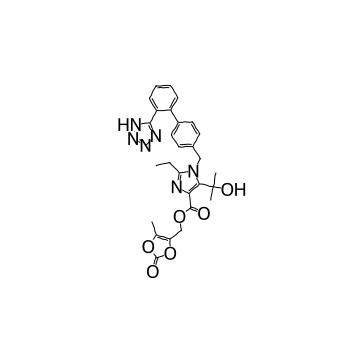 CCc1nc(C(=O)OCc2oc(=O)oc2C)c(C(C)(C)O)n1Cc1ccc(-c2ccccc2-c2nnn[nH]2)cc1